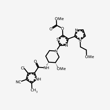 COCCn1ccnc1-c1nc(N2CC[C@@H](NC(=O)c3[nH]c(C)c(C#N)c3Cl)[C@@H](OC)C2)sc1OC(=O)OC